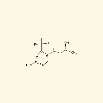 CC(O)CNc1ccc(N)cc1C(F)(F)F